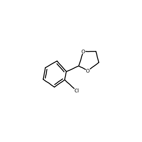 Clc1ccccc1C1OCCO1